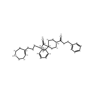 O=C(CCc1ccccc1)N1CCC(C(=O)NCCCC2=CCCOCC2)(c2ccccc2)CC1